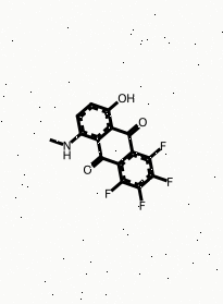 CNc1ccc(O)c2c1C(=O)c1c(F)c(F)c(F)c(F)c1C2=O